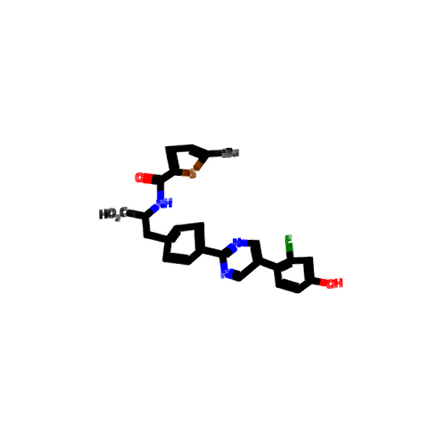 CC(C)(C)c1ccc(C(=O)NC(Cc2ccc(-c3ncc(-c4ccc(O)cc4F)cn3)cc2)C(=O)O)s1